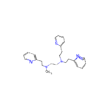 CN(CCc1ccccn1)CCN(CCc1ccccn1)CCc1ccccn1